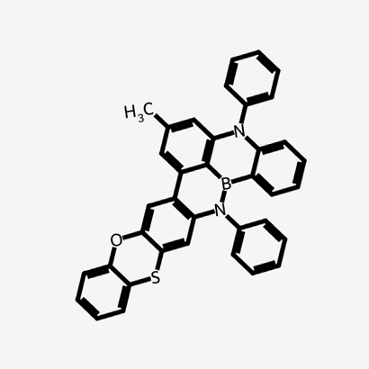 Cc1cc2c3c(c1)N(c1ccccc1)c1ccccc1B3N(c1ccccc1)c1cc3c(cc1-2)Oc1ccccc1S3